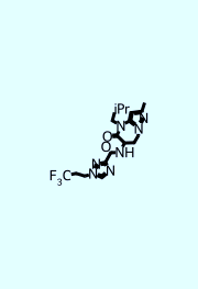 Cc1cc2n(n1)CCC(NC(=O)c1ncn(CCC(F)(F)F)n1)C(=O)N2CC(C)C